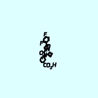 O=C(O)[C@H]1CCCN(N(C(=O)c2cc(-c3ccc(F)cc3F)on2)C2CCC2)C1